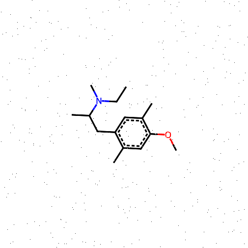 CCN(C)C(C)Cc1cc(C)c(OC)cc1C